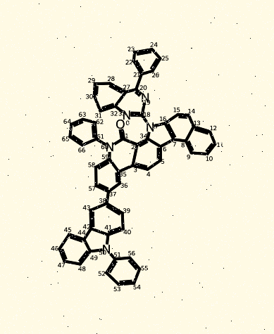 O=c1c2c(ccc3c4c5ccccc5ccc4n(-c4nc(-c5ccccc5)c5ccccc5n4)c32)c2cc(-c3ccc4c(c3)c3ccccc3n4-c3ccccc3)ccc2n1-c1ccccc1